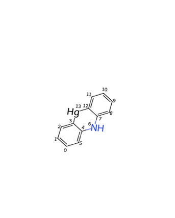 c1cc[c]2c(c1)Nc1cccc[c]1[Hg]2